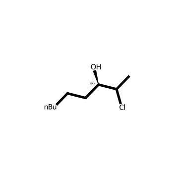 CCCCCC[C@@H](O)C(C)Cl